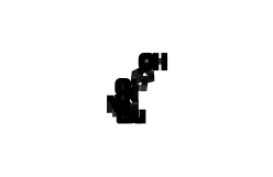 Cc1c(C(=O)NC2CC3=CCC4(O)CC3C2C4)cnn1C(C)(C)C